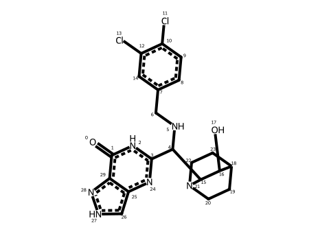 O=c1[nH]c(C(NCc2ccc(Cl)c(Cl)c2)C2C(O)C3CCN2CC3)nc2c[nH]nc12